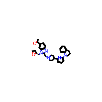 CC(=O)c1ccc2nc(CN3CCC(c4cccc(N5CCCc6ccccc65)n4)CC3)n(C[C@@H]3CCO3)c2c1